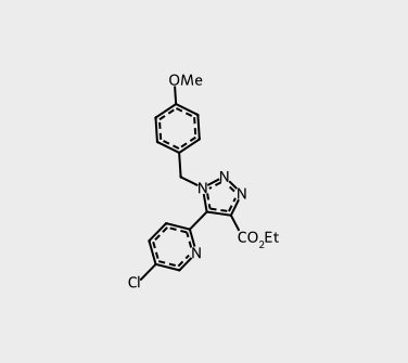 CCOC(=O)c1nnn(Cc2ccc(OC)cc2)c1-c1ccc(Cl)cn1